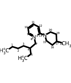 CCCCC(CC)C[n+]1ccccc1N1CCC(C)CC1